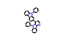 c1ccc(-n2c3ccccc3c3ccc(-c4ccnc5c6ccccc6n(-c6ccccc6)c45)cc32)cc1